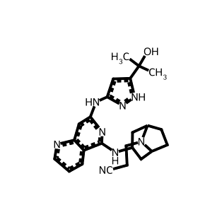 CC(C)(O)c1cc(Nc2cc3ncccc3c(NC3CC4CCC(C3)N4CCC#N)n2)n[nH]1